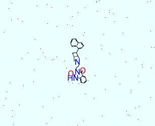 O=c1[nH]c2ccccc2c(=O)n1CCN1CC2CC(c3cccc4ccccc34)C2C1